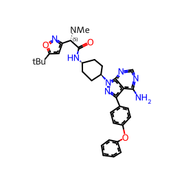 CN[C@H](C(=O)N[C@H]1CC[C@H](n2nc(-c3ccc(Oc4ccccc4)cc3)c3c(N)ncnc32)CC1)c1cc(C(C)(C)C)on1